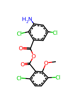 COc1c(Cl)ccc(Cl)c1C(=O)OC(=O)c1cc(Cl)cc(N)c1Cl